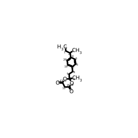 CCC(C)c1ccc(CCC2(C)OC(=O)CC(=O)O2)cc1